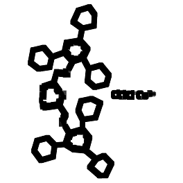 C(=Nc1c(C2CCCCC2)cc(C2CCCCC2)cc1C1CCCCC1)c1cccc(C=Nc2c(C3CCCCC3)cc(C3CCCCC3)cc2C2CCCCC2)n1.[Cl-].[Cl-].[Cl-].[Co+3]